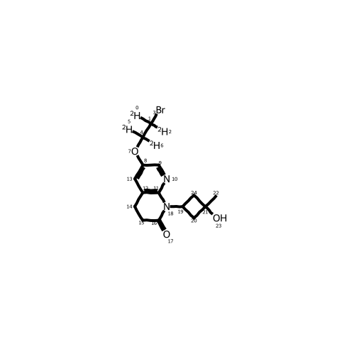 [2H]C([2H])(Br)C([2H])([2H])Oc1cnc2c(c1)CCC(=O)N2C1CC(C)(O)C1